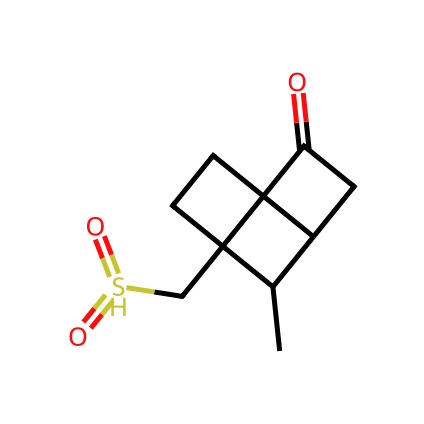 CC1C2CC(=O)C23CCC13C[SH](=O)=O